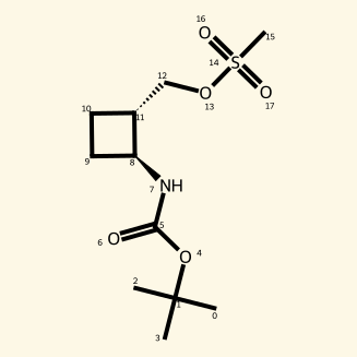 CC(C)(C)OC(=O)N[C@H]1CC[C@@H]1COS(C)(=O)=O